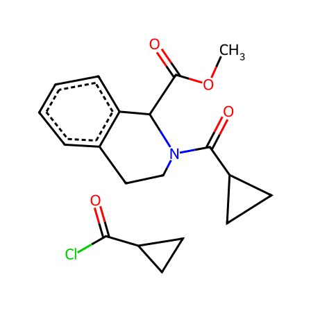 COC(=O)C1c2ccccc2CCN1C(=O)C1CC1.O=C(Cl)C1CC1